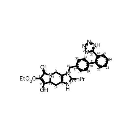 CCCC1NC2=C(CN3C(=O)C(C(=O)OCC)=C(O)C3C2)N1Cc1ccc(-c2ccccc2-c2nnn[nH]2)cc1